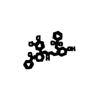 O=C(c1ccccc1)N1CCCC(CNCCN2CCC(O)CC2CS(=O)(=O)c2ccccc2)(c2ccc(Cl)c(Cl)c2)C1